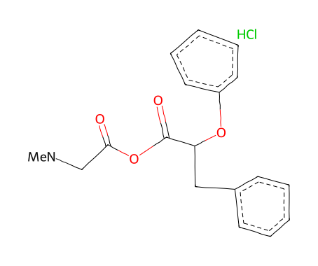 CNCC(=O)OC(=O)C(Cc1ccccc1)Oc1ccccc1.Cl